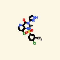 CC(C)N(C(=O)c1nccc(Cl)c1NS(=O)(=O)c1ccc(Cl)c(C(F)(F)F)c1)c1cc[nH]n1